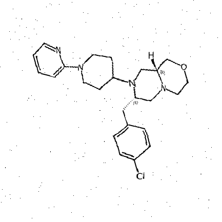 Clc1ccc(C[C@H]2CN3CCOC[C@H]3CN2C2CCN(c3ccccn3)CC2)cc1